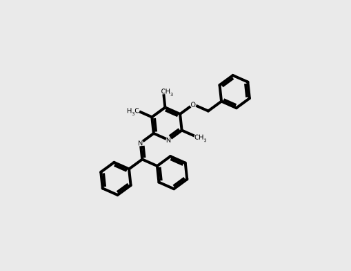 Cc1nc(N=C(c2ccccc2)c2ccccc2)c(C)c(C)c1OCc1ccccc1